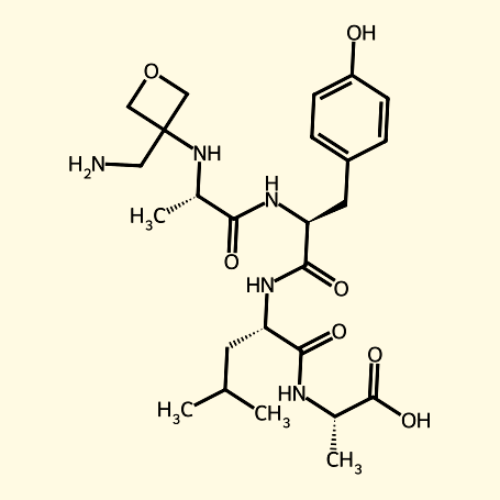 CC(C)C[C@H](NC(=O)[C@H](Cc1ccc(O)cc1)NC(=O)[C@H](C)NC1(CN)COC1)C(=O)N[C@@H](C)C(=O)O